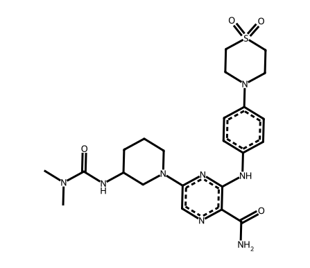 CN(C)C(=O)NC1CCCN(c2cnc(C(N)=O)c(Nc3ccc(N4CCS(=O)(=O)CC4)cc3)n2)C1